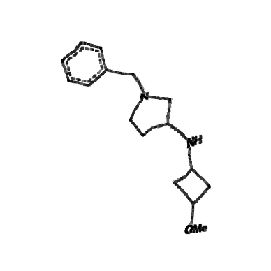 COC1CC(NC2CCN(Cc3ccccc3)C2)C1